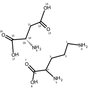 NCCCC(N)C(=O)O.N[C@@H](CC(=O)O)C(=O)O